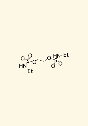 CCNS(=O)(=O)OCCOS(=O)(=O)NCC